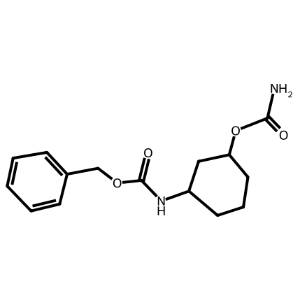 NC(=O)OC1CCCC(NC(=O)OCc2ccccc2)C1